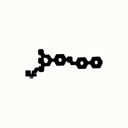 CCOC(=O)CC(CC=O)c1ccc(OCc2ccc(-c3ccccc3)cc2)cc1